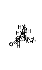 CC(C)NC(=O)CC(NC(=O)CNC(=O)C(CCCNC(=N)N)NC(=O)OCc1ccccc1)C(=O)O